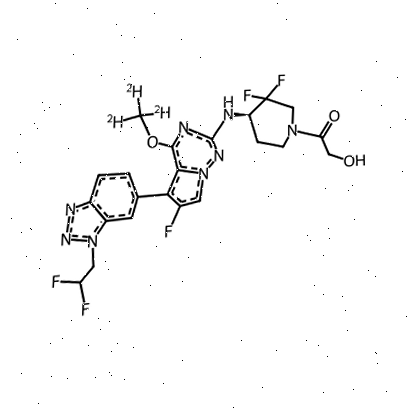 [2H]C([2H])([2H])Oc1nc(N[C@@H]2CCN(C(=O)CO)CC2(F)F)nn2cc(F)c(-c3ccc4nnn(CC(F)F)c4c3)c12